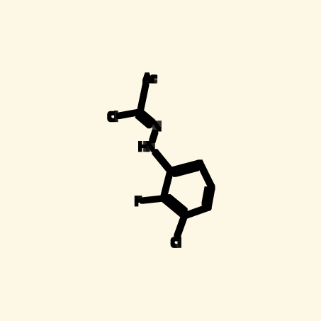 CC(=O)C(Cl)=NNc1cccc(Cl)c1F